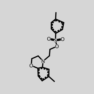 Cc1ccc(S(=O)(=O)OCCN2CCOc3ccc(C)cc32)cc1